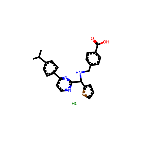 CC(C)c1ccc(-c2ccnc(C(NCc3ccc(C(=O)O)cc3)c3cccs3)n2)cc1.Cl